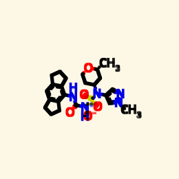 C[C@@H]1C[C@@H](N(c2cnn(C)c2)S(=O)(=O)[NH+]([O-])C(=O)Nc2c3c(cc4c2CCC4)CCC3)CCO1